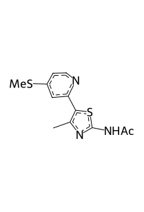 CSc1ccnc(-c2sc(NC(C)=O)nc2C)c1